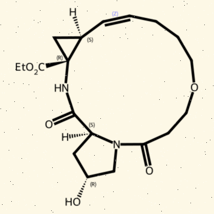 CCOC(=O)[C@@]12C[C@H]1/C=C\CCCOCCC(=O)N1C[C@H](O)C[C@H]1C(=O)N2